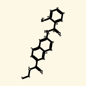 CCOC(=O)c1cnc2cc(NC(=O)c3ccccc3Br)ccc2c1